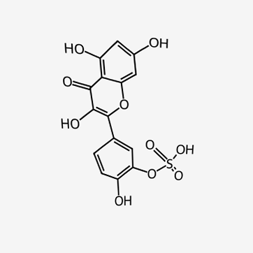 O=c1c(O)c(-c2ccc(O)c(OS(=O)(=O)O)c2)oc2cc(O)cc(O)c12